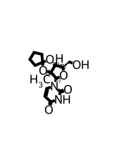 C[C@@]12OC3(CCCC3)O[C@@H]1[C@@H](CO)O[C@H]2n1ccc(=O)[nH]c1=O